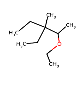 CCOC(C)C(C)(CC)CC